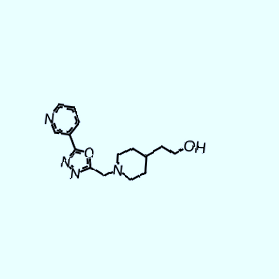 OCCC1CCN(Cc2nnc(-c3cccnc3)o2)CC1